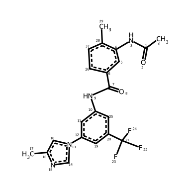 CC(=O)Nc1cc(C(=O)Nc2cc(-n3cnc(C)c3)cc(C(F)(F)F)c2)ccc1C